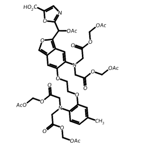 CC(=O)OCOC(=O)CN(CC(=O)OCOC(C)=O)c1ccc(C)cc1OCCOc1cc2coc(C(OC(C)=O)c3ncc(C(=O)O)o3)c2cc1N(CC(=O)OCOC(C)=O)CC(=O)OCOC(C)=O